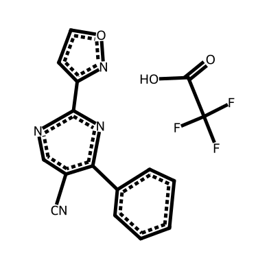 N#Cc1cnc(-c2ccon2)nc1-c1ccccc1.O=C(O)C(F)(F)F